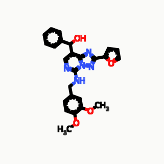 COc1ccc(CNc2ncc(C(O)c3ccccc3)c3nc(-c4ccco4)nn23)cc1OC